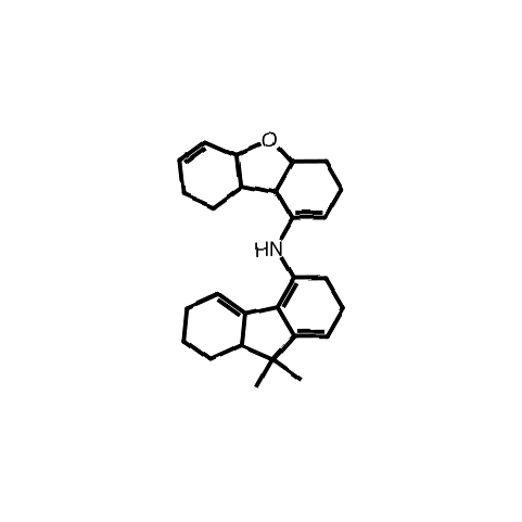 CC1(C)C2=CCCC(NC3=CCCC4OC5C=CCCC5C34)=C2C2=CCCCC21